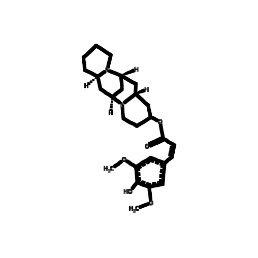 COc1cc(/C=C\C(=O)OC2CCN3[C@@H]4C[C@@H](C[C@@H]3C2)N2CCCC[C@@H]2C4)cc(OC)c1O